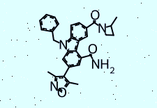 Cc1noc(C)c1-c1cc(C(N)=O)c2c3cc(C(=O)N4CCC4C)ccc3n(Cc3ccccc3)c2c1